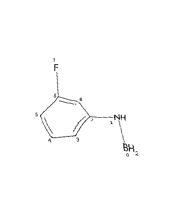 BNc1cccc(F)c1